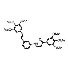 COc1cc(/C=C/c2cccc(N/C=C\C(=O)c3cc(OC)c(OC)c(OC)c3)c2)cc(OC)c1OC